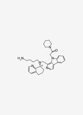 NCCCCN(Cc1nccc2c3ccccc3n(CC(=O)N3CCCCC3)c12)[C@H]1CCCc2cccnc21